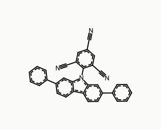 N#Cc1cc(C#N)c(-n2c3cc(-c4ccccc4)ccc3c3ccc(-c4ccccc4)cc32)c(C#N)c1